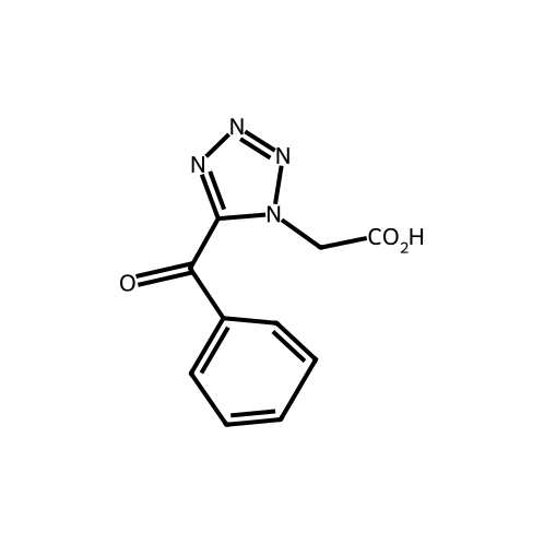 O=C(O)Cn1nnnc1C(=O)c1ccccc1